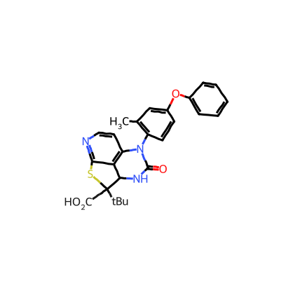 Cc1cc(Oc2ccccc2)ccc1N1C(=O)NC2c3c1ccnc3SC2(C(=O)O)C(C)(C)C